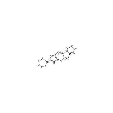 Cc1sc(N2CCOCC2)nc1Cc1cc2ccccc2s1